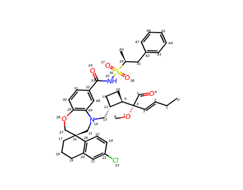 CC/C=C/[C@@](C=O)(OC)[C@@H]1CC[C@H]1CN1C[C@@]2(CCCc3cc(Cl)ccc32)COc2ccc(C(=O)NS(=O)(=O)[C@@H](C)Cc3ccccc3)cc21